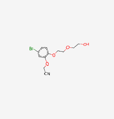 N#CCOc1cc(Br)ccc1OCCOCCO